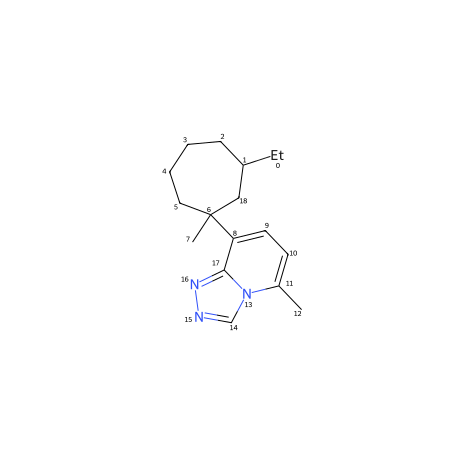 CCC1CCCCC(C)(c2ccc(C)n3cnnc23)C1